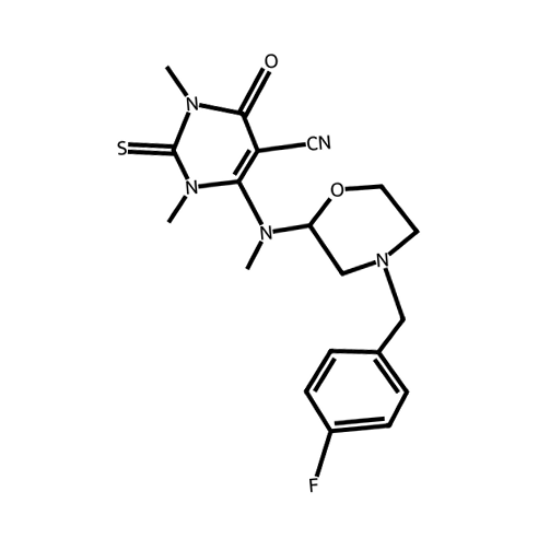 CN(c1c(C#N)c(=O)n(C)c(=S)n1C)C1CN(Cc2ccc(F)cc2)CCO1